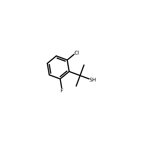 CC(C)(S)c1c(F)cccc1Cl